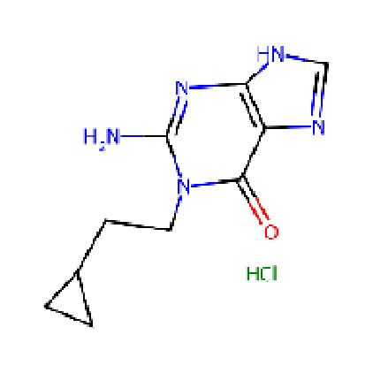 Cl.Nc1nc2[nH]cnc2c(=O)n1CCC1CC1